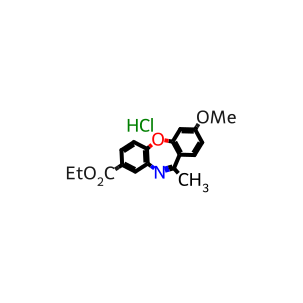 CCOC(=O)c1ccc2c(c1)N=C(C)c1ccc(OC)cc1O2.Cl